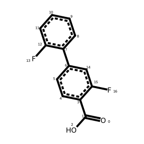 O=C(O)c1ccc(-c2ccccc2F)cc1F